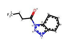 O=C(CCC(F)(F)F)n1nnc2ccccc21